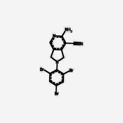 N#Cc1c(N)ncc2c1CN(c1c(Br)cc(Br)cc1Br)C2